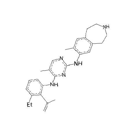 C=C(C)c1c(CC)cccc1Nc1nc(Nc2cc3c(cc2C)CCNCC3)ncc1C